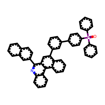 O=P(c1ccccc1)(c1ccccc1)c1ccc(-c2cccc(-c3cc4c(-c5ccc6ccccc6c5)nc5ccccc5c4c4ccccc34)c2)cc1